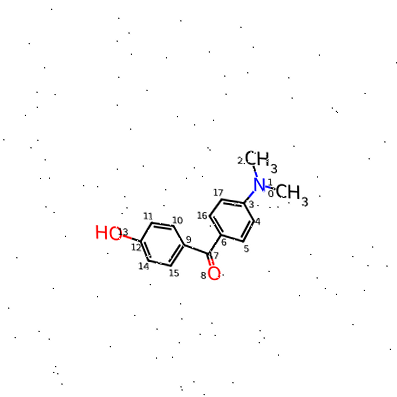 CN(C)c1ccc(C(=O)c2ccc(O)cc2)cc1